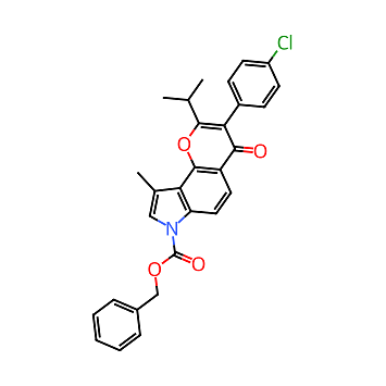 Cc1cn(C(=O)OCc2ccccc2)c2ccc3c(=O)c(-c4ccc(Cl)cc4)c(C(C)C)oc3c12